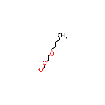 CCCCCOCCOC[O]